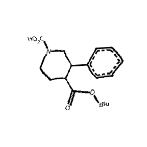 CC(C)(C)OC(=O)C1CCN(C(=O)O)CC1c1ccccc1